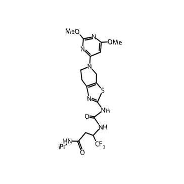 COc1cc(N2CCc3nc(NC(=O)NC(CC(=O)NC(C)C)C(F)(F)F)sc3C2)nc(OC)n1